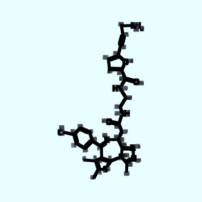 Cc1sc2c(c1C)C(c1ccc(Cl)cc1)=N[C@@H](CC(=O)NCCNC(=O)c1ccc(C#CCN)o1)c1nnc(C)n1-2